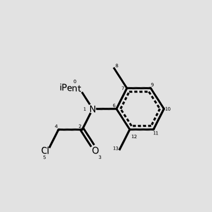 CCCC(C)N(C(=O)CCl)c1c(C)cccc1C